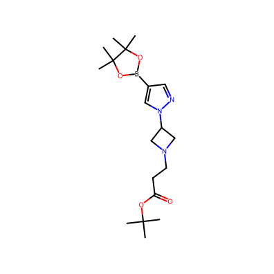 CC(C)(C)OC(=O)CCN1CC(n2cc(B3OC(C)(C)C(C)(C)O3)cn2)C1